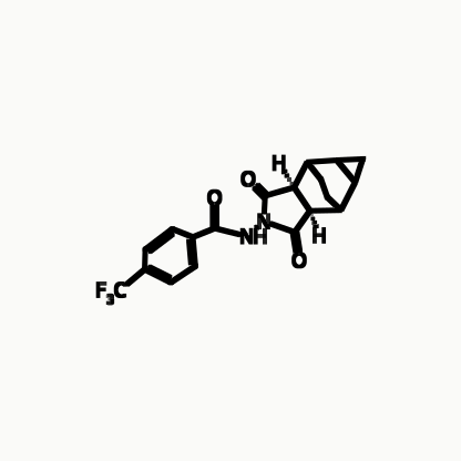 O=C(NN1C(=O)[C@@H]2C3CCC(C4CC43)[C@@H]2C1=O)c1ccc(C(F)(F)F)cc1